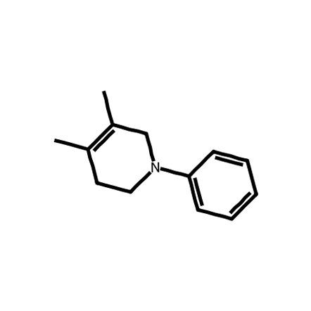 CC1=C(C)CN(c2ccccc2)CC1